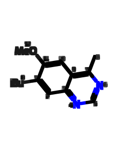 CCC(C)c1cc2ncnc(C)c2cc1OC